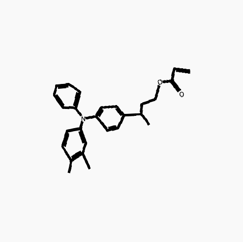 C=CC(=O)OCCC(C)c1ccc(N(c2ccccc2)c2ccc(C)c(C)c2)cc1